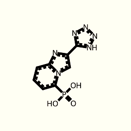 O=P(O)(O)c1cccc2nc(-c3nnn[nH]3)cn12